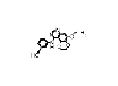 C#Cc1cccc(Nc2ncnc3cc(OCC)c4c(c23)OCCO4)c1